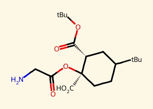 CC(C)(C)OC(=O)[C@@H]1CC(C(C)(C)C)CC[C@]1(OC(=O)CN)C(=O)O